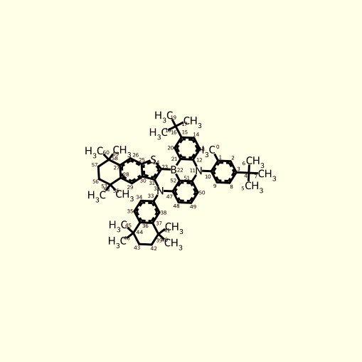 Cc1cc(C(C)(C)C)ccc1N1c2ccc(C(C)(C)C)cc2B2c3sc4cc5c(cc4c3N(c3ccc4c(c3)C(C)(C)CCC4(C)C)c3cccc1c32)C(C)(C)CCC5(C)C